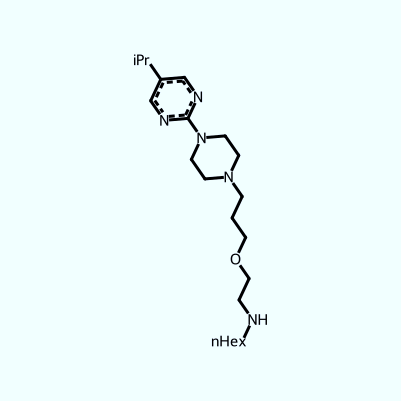 CCCCCCNCCOCCCN1CCN(c2ncc(C(C)C)cn2)CC1